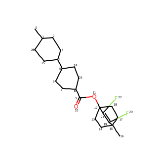 CC1CCC(C2CCC(C(=O)OC34CCC(C)(CC3)C(F)=C4F)CC2)CC1